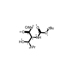 CCC[C@@H](O)[C@H](NC(=O)OC(C)(C)C)C(=O)OC